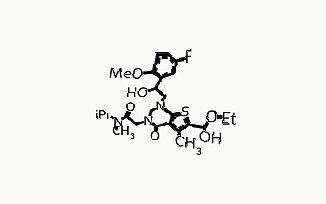 CCOC(O)c1sc2c(c1C)C(=O)N(CC(=O)N(C)C(C)C)CN2CC(O)c1cc(F)ccc1OC